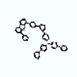 c1ccc(-c2ccc(N(c3ccc(-c4ccccc4)cc3)c3ccc(-c4cccc(-c5ccc(-c6cccc7c6sc6c(-c8ccccc8)cccc67)cc5)c4)cc3)cc2)cc1